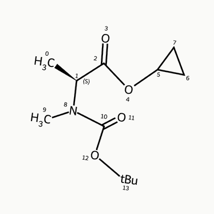 C[C@@H](C(=O)OC1CC1)N(C)C(=O)OC(C)(C)C